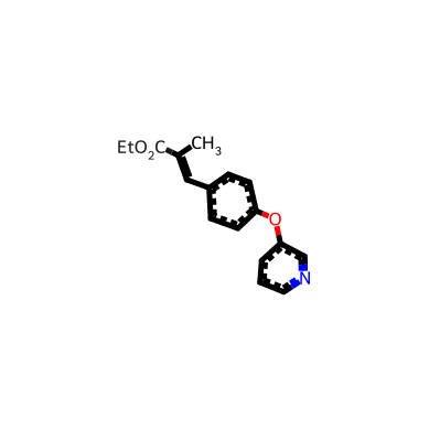 CCOC(=O)/C(C)=C/c1ccc(Oc2cccnc2)cc1